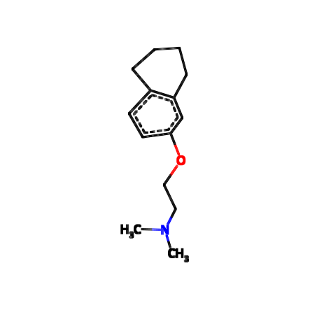 CN(C)CCOc1ccc2c(c1)CCCC2